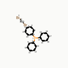 [Br][Ru][Br].c1ccc(P(c2ccccc2)c2ccccc2)cc1